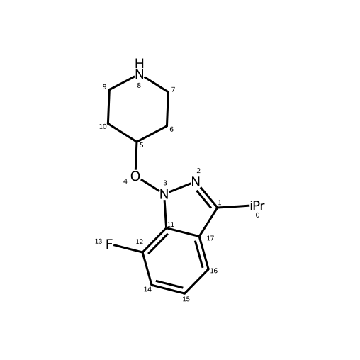 CC(C)c1nn(OC2CCNCC2)c2c(F)cccc12